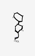 CCCCCCCC/C=C/C1CCC(C2CCCCC2)CC1